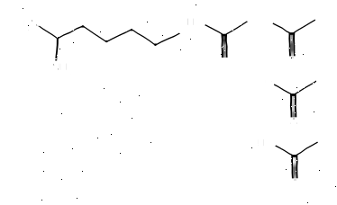 CC(=O)O.CC(=O)O.CC(=O)O.CC(=O)O.CCCCCC(N)N